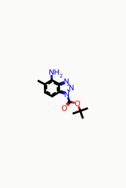 Cc1ccc2c(nnn2C(=O)OC(C)(C)C)c1N